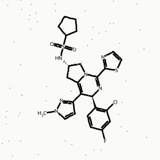 Cn1ccc(C2=C3C[C@H](NS(=O)(=O)C4CCCC4)CN3C(c3nccs3)=N[C@H]2c2ccc(F)cc2Cl)n1